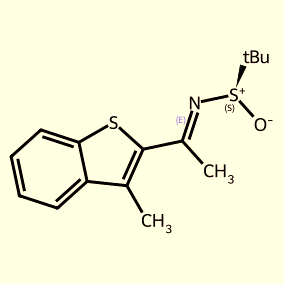 C/C(=N\[S@+]([O-])C(C)(C)C)c1sc2ccccc2c1C